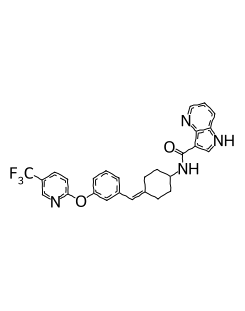 O=C(NC1CCC(=Cc2cccc(Oc3ccc(C(F)(F)F)cn3)c2)CC1)c1c[nH]c2cccnc12